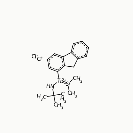 C[Si](C)=[Ti+2]([NH]C(C)(C)C)[c]1cccc2c1Cc1ccccc1-2.[Cl-].[Cl-]